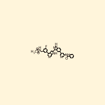 CS(=O)(=O)NCc1cc(F)cc(-c2cncc3[nH]c(-c4n[nH]c5ccc(-c6cncc(NC(=O)c7ccccc7)c6)cc45)cc23)c1